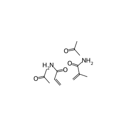 C=C(C)C(N)=O.C=CC(N)=O.CC(C)=O.CC(C)=O